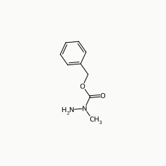 CN(N)C(=O)OCc1ccccc1